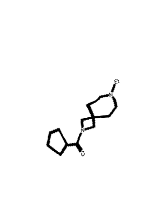 CCN1CCC2(CC1)CN(C(=O)C1CCCC1)C2